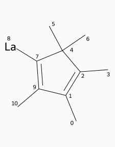 CC1=C(C)C(C)(C)[C]([La])=C1C